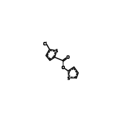 O=C(Oc1cccs1)c1ccc(Cl)s1